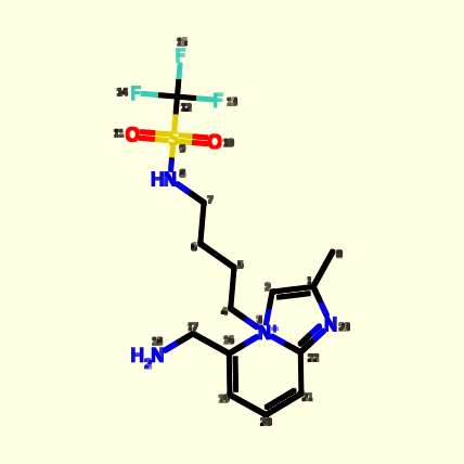 CC1=C[N+]2(CCCCNS(=O)(=O)C(F)(F)F)C(CN)=CC=CC2=N1